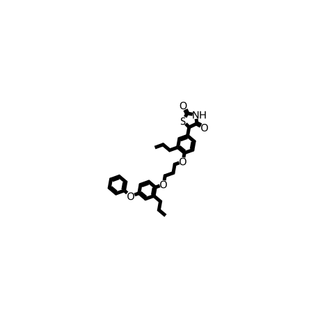 CCCc1cc(Oc2ccccc2)ccc1OCCCOc1ccc(C2SC(=O)NC2=O)cc1CCC